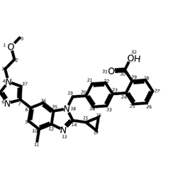 COCCn1cnc(-c2cc(C)c3nc(C4CC4)n(Cc4ccc(-c5ccccc5C(=O)O)cc4)c3c2)c1